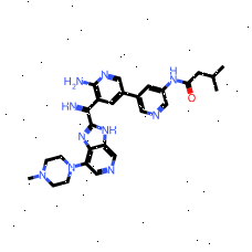 CC(C)CC(=O)Nc1cncc(-c2cnc(N)c(C(=N)c3nc4c(N5CCN(C)CC5)cncc4[nH]3)c2)c1